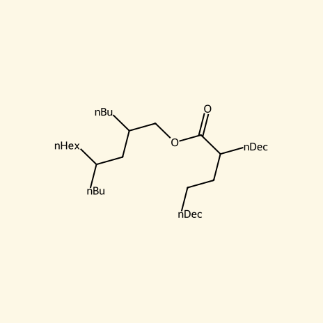 CCCCCCCCCCCCC(CCCCCCCCCC)C(=O)OCC(CCCC)CC(CCCC)CCCCCC